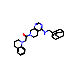 O=C(CN1CCCc2ccccc21)N1CCc2c(ncnc2NCC2C3CC4CC(C3)CC2C4)C1